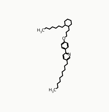 CCCCCCCCCCc1ccc(-c2ccc(OCCCC3CCCCC3CCCCCCC)cc2)nc1